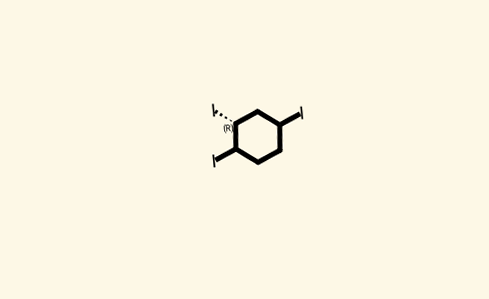 IC1CCC(I)[C@H](I)C1